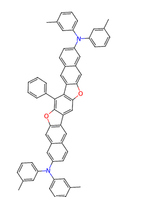 Cc1cccc(N(c2cccc(C)c2)c2ccc3cc4c(cc3c2)oc2c(-c3ccccc3)c3c(cc24)oc2cc4cc(N(c5cccc(C)c5)c5cccc(C)c5)ccc4cc23)c1